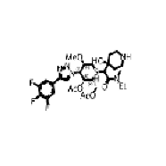 CCN(C)C(=O)C([SH]1C[C@H](OC)[C@H](n2cc(-c3cc(F)c(F)c(F)c3)nn2)[C@@H](OC(C)=O)[C@H]1COC(C)=O)C1(O)CCNCC1